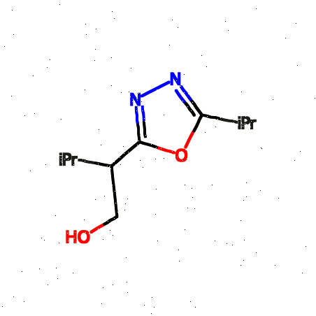 CC(C)c1nnc(C(CO)C(C)C)o1